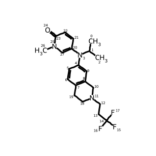 CC(C)N(c1ccc2c(c1)CN(CCC(F)(F)F)CC2)c1ccc(=O)n(C)c1